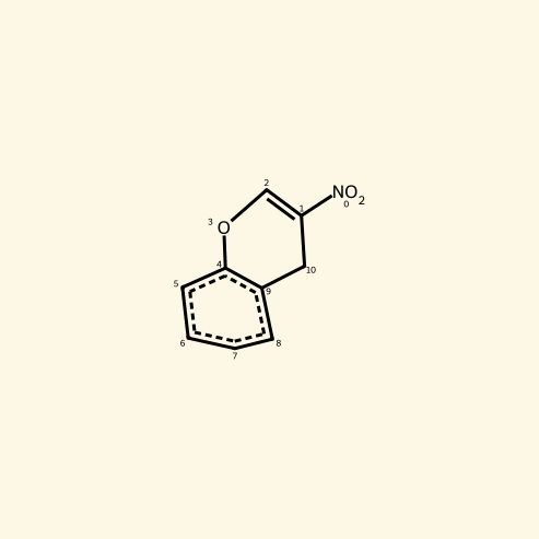 O=[N+]([O-])C1=COc2ccccc2C1